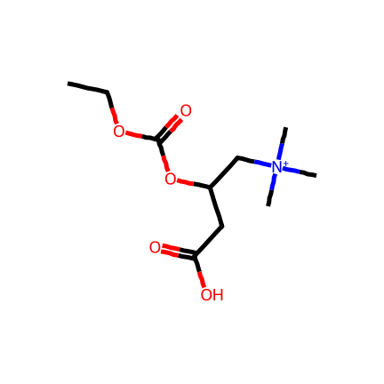 CCOC(=O)OC(CC(=O)O)C[N+](C)(C)C